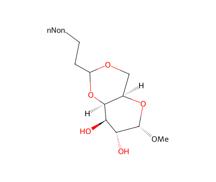 CCCCCCCCCCCC1OC[C@H]2O[C@H](OC)[C@H](O)[C@@H](O)[C@H]2O1